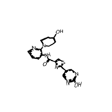 O=C(Nc1cccnc1N1CCC(O)CC1)c1csc(-c2cnc(O)nc2)n1